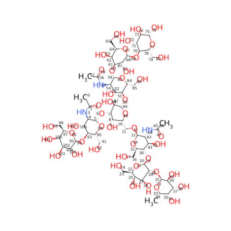 CC(=O)N[C@H]1[C@H](O[C@H]2[C@@H](O)[C@@H](CO[C@@H]3O[C@H](CO)[C@@H](O[C@@H]4O[C@H](CO)[C@H](O)[C@H](O)[C@H]4O[C@@H]4O[C@@H](C)[C@@H](O)[C@@H](O)[C@@H]4O)[C@H](O)[C@H]3NC(C)=O)O[C@@H](O[C@H]3[C@H](O)[C@@H](NC(C)=O)[C@H](O[C@H]4[C@@H](O)[C@@H](CO)O[C@@H](O[C@H]5[C@H](O)[C@@H](O)[C@H](O)O[C@@H]5CO)[C@@H]4O)O[C@@H]3CO)[C@@H]2O)O[C@H](CO)[C@@H](O[C@@H]2O[C@H](CO)[C@H](O)[C@H](O)[C@H]2O)[C@@H]1O